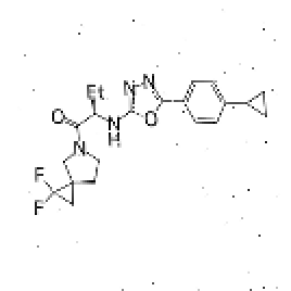 CC[C@@H](Nc1nnc(-c2ccc(C3CC3)cc2)o1)C(=O)N1CC[C@@]2(C1)CC2(F)F